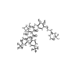 CN1N(Cc2ccc(OCCN3CCOC(C)(C)C3)c(F)c2F)C(=O)C(C(=O)Nc2ccc(C(F)(F)F)cc2-c2cc(C(F)(F)F)ncn2)=C(O)C12CCC2